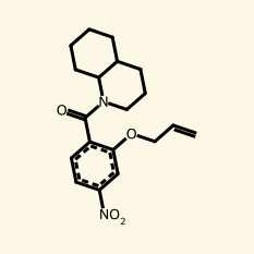 C=CCOc1cc([N+](=O)[O-])ccc1C(=O)N1CCCC2CCCCC21